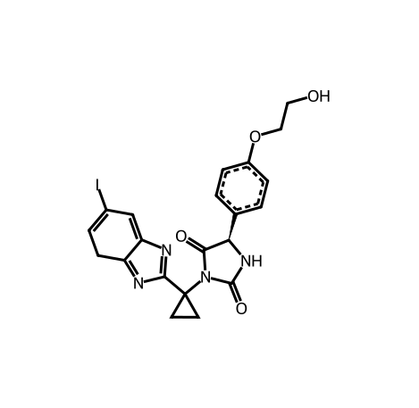 O=C1N[C@H](c2ccc(OCCO)cc2)C(=O)N1C1(C2=NC3=CC(I)=CCC3=N2)CC1